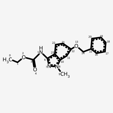 CCOC(=O)Nc1nn(C)c2cc(OCc3ccccc3)ccc12